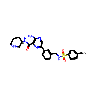 Nc1ncc(-c2cccc(CNS(=O)(=O)c3ccc(C(F)(F)F)cc3)c2)nc1C(=O)N[C@H]1CCCNC1